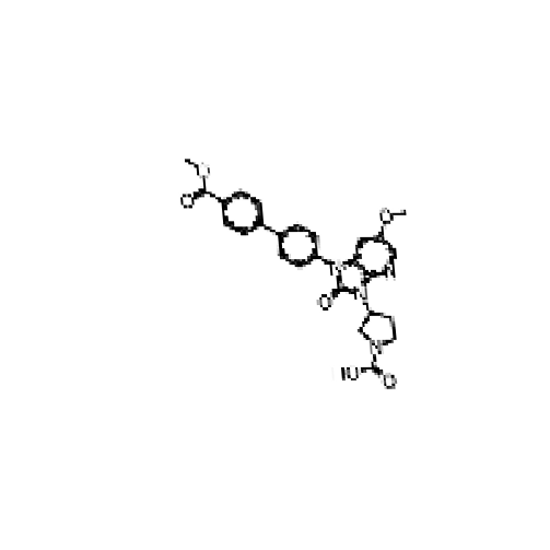 COC(=O)c1ccc(-c2ccc(-n3c(=O)n(C4CCN(C(=O)O)C4)c4ncc(OC)cc43)cc2)cc1